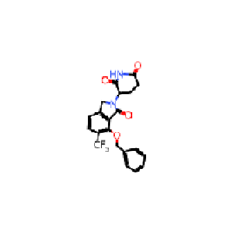 O=C1CCC(N2Cc3ccc(C(F)(F)F)c(OCc4ccccc4)c3C2=O)C(=O)N1